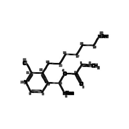 C=CC(=O)OC(CCCCCCCCC)c1ccnc(Cl)c1CCCCCCCCCCCCCCCC